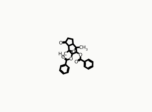 CC12OC(C)(C(OC(=O)c3ccccc3)C1OC(=O)c1ccccc1)C1C(=O)CCC12